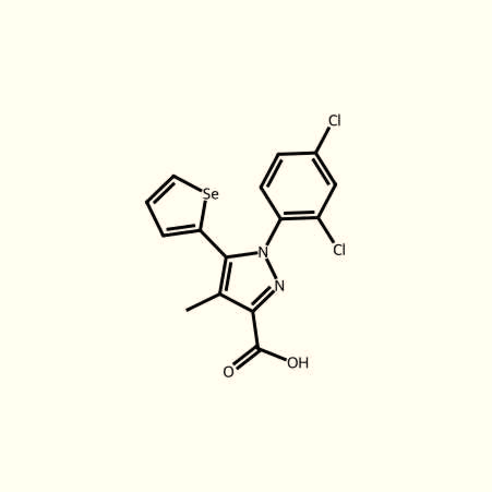 Cc1c(C(=O)O)nn(-c2ccc(Cl)cc2Cl)c1-c1ccc[se]1